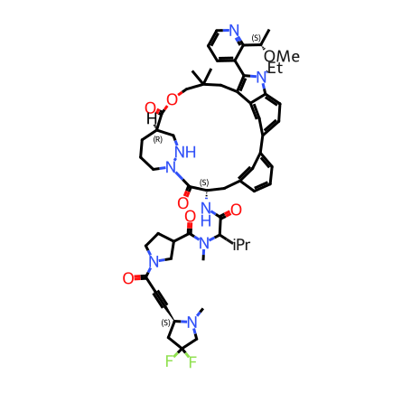 CCn1c(-c2cccnc2[C@H](C)OC)c2c3cc(ccc31)-c1cccc(c1)C[C@H](NC(=O)C(C(C)C)N(C)C(=O)C1CCN(C(=O)C#C[C@@H]3CC(F)(F)CN3C)C1)C(=O)N1CCC[C@H](CN1)C(=O)OCC(C)(C)C2